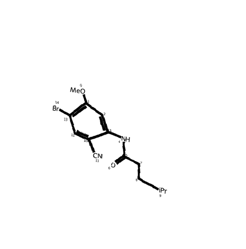 COc1cc(NC(=O)CCC(C)C)c(C#N)cc1Br